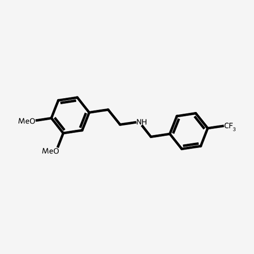 COc1ccc(CCNCc2ccc(C(F)(F)F)cc2)cc1OC